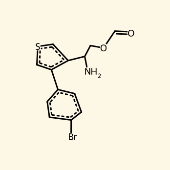 NC(COC=O)c1cscc1-c1ccc(Br)cc1